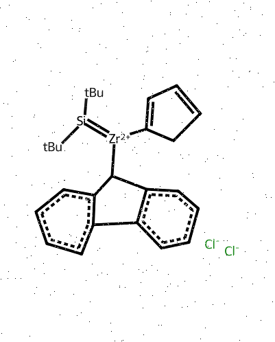 CC(C)(C)[Si](=[Zr+2]([C]1=CC=CC1)[CH]1c2ccccc2-c2ccccc21)C(C)(C)C.[Cl-].[Cl-]